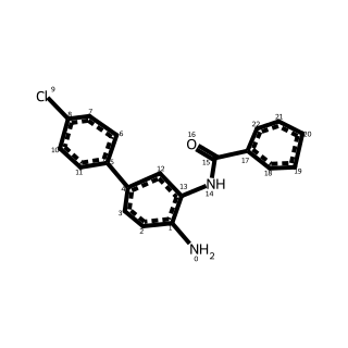 Nc1ccc(-c2ccc(Cl)cc2)cc1NC(=O)c1ccccc1